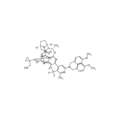 COc1ccc(CN(Cc2ccc(OC)cc2)c2cc(-c3nc4c5c(nc(OCC6(CO)CC6)nc5c3F)N3C[C@H]5CC[C@@H]([C@H]3[C@H](C)O4)N5C(=O)OC(C)(C)C)c(C(F)(F)F)c(C)n2)cc1